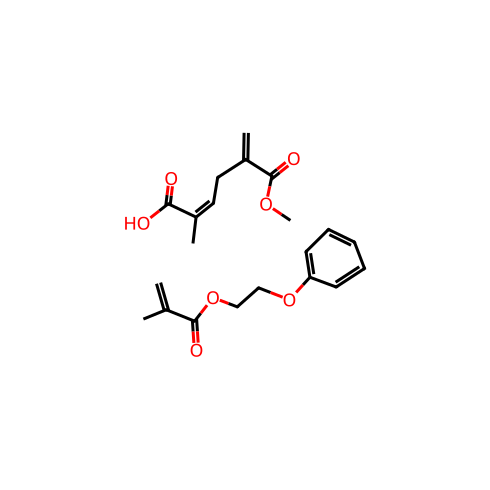 C=C(C)C(=O)OCCOc1ccccc1.C=C(CC=C(C)C(=O)O)C(=O)OC